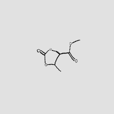 COC(=O)C1OC(=O)OC1C